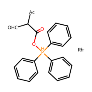 CC(=O)C(C=O)C(=O)O[PH](c1ccccc1)(c1ccccc1)c1ccccc1.[Rh]